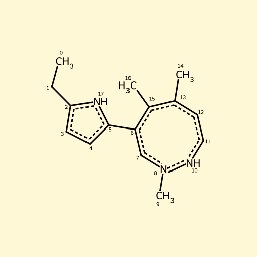 CCc1ccc(-c2cn(C)[nH]ccc(C)c2C)[nH]1